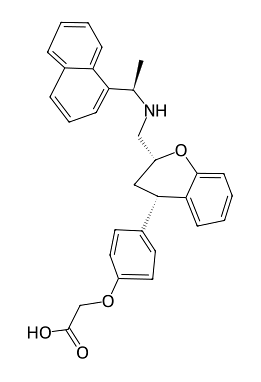 C[C@@H](NC[C@H]1C[C@@H](c2ccc(OCC(=O)O)cc2)c2ccccc2O1)c1cccc2ccccc12